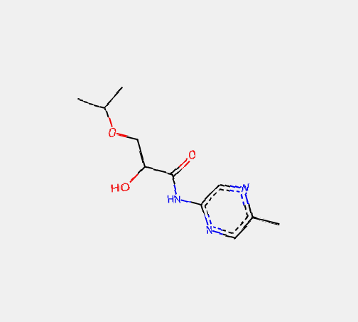 Cc1cnc(NC(=O)C(O)COC(C)C)cn1